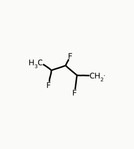 [CH2]C(F)C(F)C(C)F